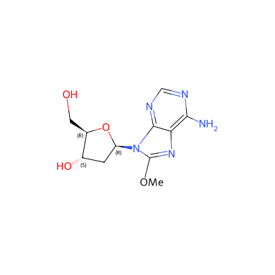 COc1nc2c(N)ncnc2n1[C@H]1C[C@H](O)[C@@H](CO)O1